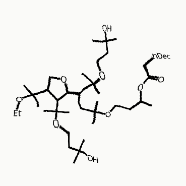 CCCCCCCCCCCC(=O)OC(C)CCOC(C)(C)CC(C1OCC(C(C)(C)OCC)C1C(C)(C)OCCC(C)(C)O)C(C)(C)OCCC(C)(C)O